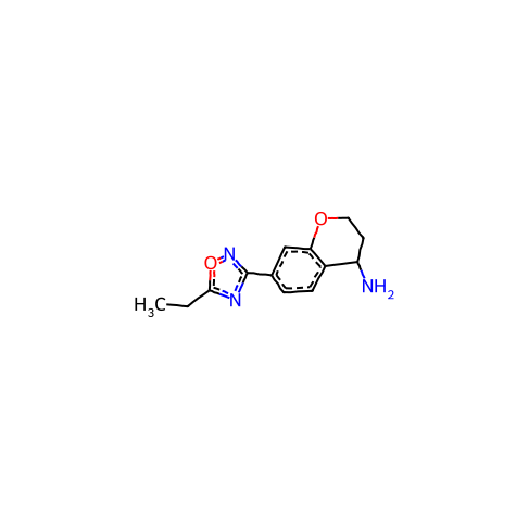 CCc1nc(-c2ccc3c(c2)OCCC3N)no1